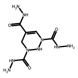 NNC(=O)C1=CN(C(=O)NN)NN(C(=O)NN)C1